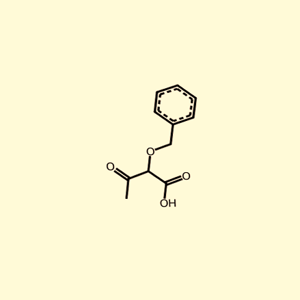 CC(=O)C(OCc1ccccc1)C(=O)O